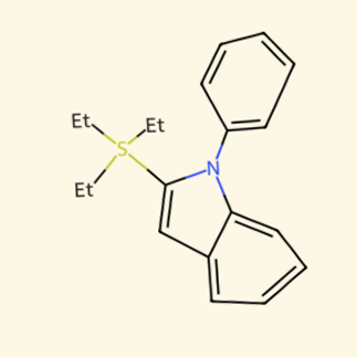 CCS(CC)(CC)c1cc2ccccc2n1-c1ccccc1